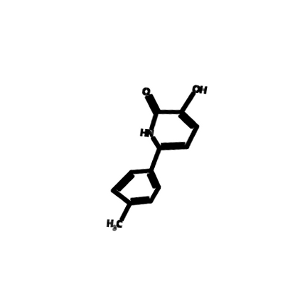 Cc1ccc(-c2ccc(O)c(=O)[nH]2)cc1